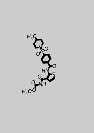 COC(=O)NC(=O)c1ccsc1NC(=O)c1ccc(S(=O)(=O)N2CCC(C)CC2)cc1